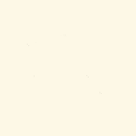 CC1(C)OC(=C2C(=O)Nc3ccc(F)cc32)C=C1c1ccc(CNCCN2CCCC2)cc1